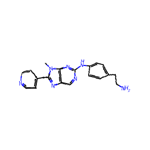 Cn1c(-c2ccncc2)nc2cnc(Nc3ccc(CCN)cc3)nc21